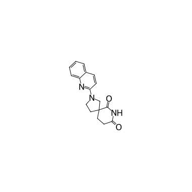 O=C1CCC2(CCN(c3ccc4ccccc4n3)C2)C(=O)N1